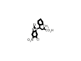 CCc1nc2cc([N+](=O)[O-])c(Cl)cc2n1C(CC(C)C(=O)O)c1ccccc1